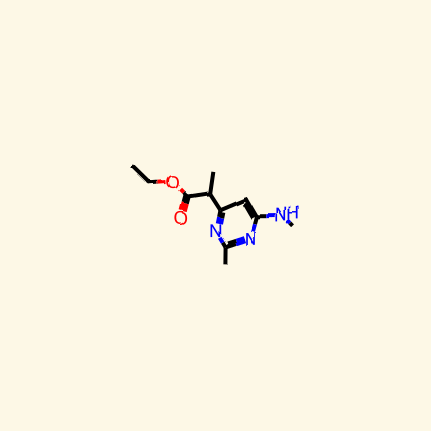 CCOC(=O)C(C)c1cc(NC)nc(C)n1